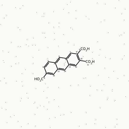 O=C(O)c1ccc2cc3cc(C(=O)O)c(C(=O)O)cc3cc2c1